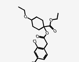 CCOC(=O)C1(OC(=O)Cc2ccc(Cl)cc2Cl)CCC(OCC)CC1